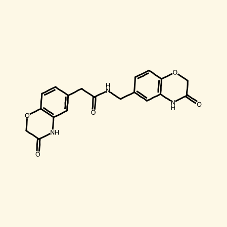 O=C(Cc1ccc2c(c1)NC(=O)CO2)NCc1ccc2c(c1)NC(=O)CO2